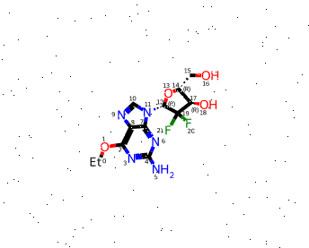 CCOc1nc(N)nc2c1ncn2[C@@H]1O[C@H](CO)[C@@H](O)C1(F)F